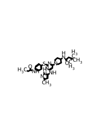 CCC(=O)Nc1ccc(Sc2nc(Nc3cc(C)n[nH]3)cc(N3CCC(NC(=O)CC(C)(C)C)CC3)n2)cc1